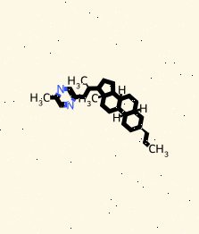 CCC[C@H]1CC[C@@H]2C3CC[C@@]4(C)C(CCC4[C@@H](C)Cc4cnc(C)cn4)[C@@H]3CC[C@@H]2C1